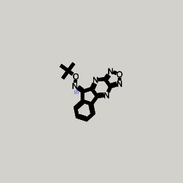 CC(C)(C)O/N=C1/c2ccccc2-c2nc3nonc3nc21